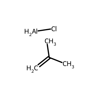 C=C(C)C.[AlH2][Cl]